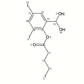 O=C(CCCI)Oc1c(I)cc(I)cc1C(O)O